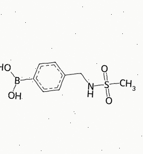 CS(=O)(=O)NCc1ccc(B(O)O)cc1